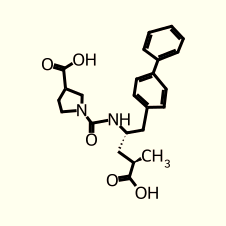 C[C@H](C[C@@H](Cc1ccc(-c2ccccc2)cc1)NC(=O)N1CCC(C(=O)O)C1)C(=O)O